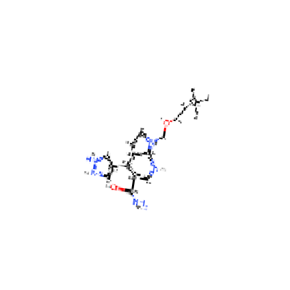 C[Si](C)(C)CCOCn1ccc2c(-c3cn[nH]c3)c(C(N)=O)cnc21